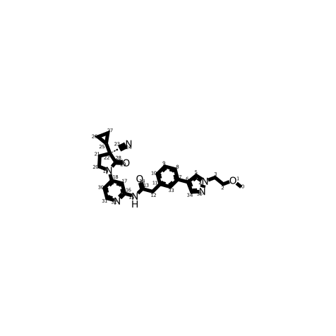 COCCn1cc(-c2cccc(CC(=O)Nc3cc(N4CC[C@@](C#N)(C5CC5)C4=O)ccn3)c2)cn1